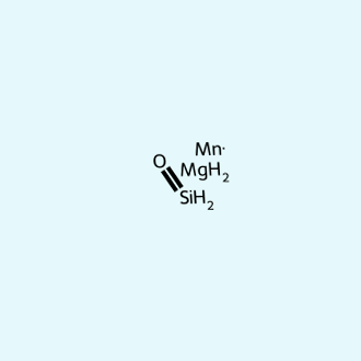 O=[SiH2].[MgH2].[Mn]